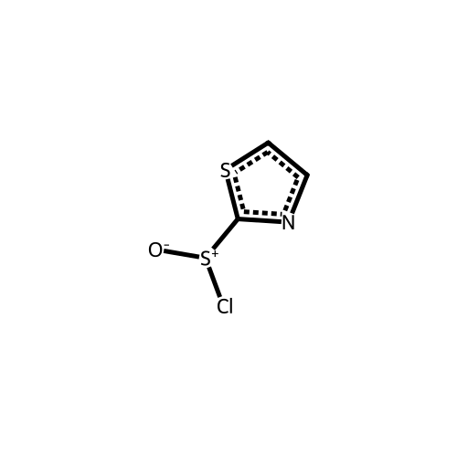 [O-][S+](Cl)c1nccs1